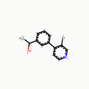 CCc1cnccc1-c1cccc(C(C)O)c1